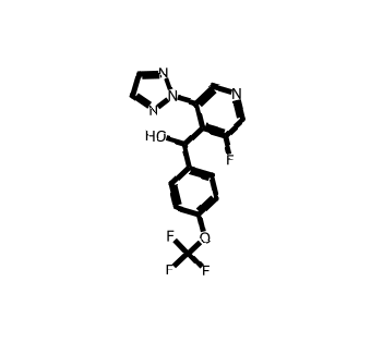 OC(c1ccc(OC(F)(F)F)cc1)c1c(F)cncc1-n1nccn1